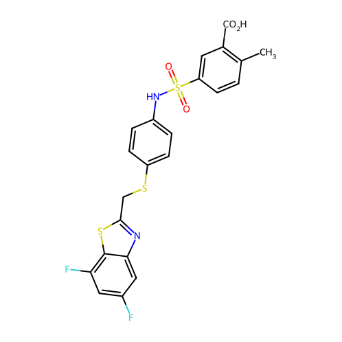 Cc1ccc(S(=O)(=O)Nc2ccc(SCc3nc4cc(F)cc(F)c4s3)cc2)cc1C(=O)O